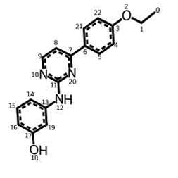 CCOc1ccc(-c2ccnc(Nc3cccc(O)c3)n2)cc1